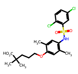 Cc1cc(OCCCC(C)(C)C(=O)O)c(C)cc1NS(=O)(=O)c1cc(Cl)ccc1Cl